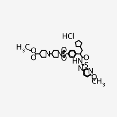 CCOC(=O)C1CCN(C2CCN(S(=O)(=O)c3ccc(C(CC4CCCC4)C(=O)Nc4nc5ccc(OC)nc5s4)cc3)CC2)CC1.Cl